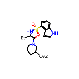 CCC(NS(=O)(=O)c1cccc2[nH]ccc12)C(=O)N1CCCC(OC(C)=O)C1